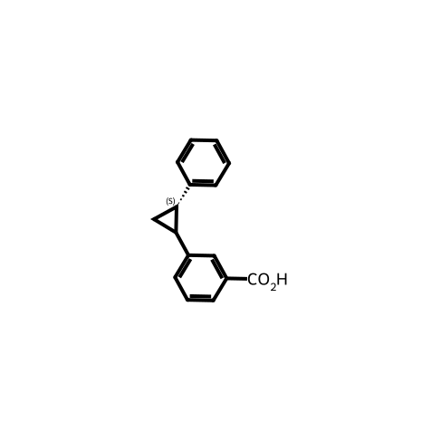 O=C(O)c1cccc(C2C[C@@H]2c2ccccc2)c1